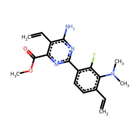 C=Cc1ccc(-c2nc(N)c(C=C)c(C(=O)OC)n2)c(F)c1N(C)C